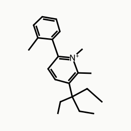 CCC(CC)(CC)c1ccc(-c2ccccc2C)[n+](C)c1C